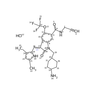 C#CCNC(=O)c1cc2c(cc1OC(F)(F)F)/C(=C/c1[nH]c(C)cc1C)C(=O)N2CC1CCC(N)CC1.Cl